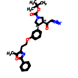 Cc1oc(-c2ccccc2)nc1CCOc1cccc([C@@H]2CN(C(=O)OC(C)(C)C)C[C@H]2C(=O)C=[N+]=[N-])c1